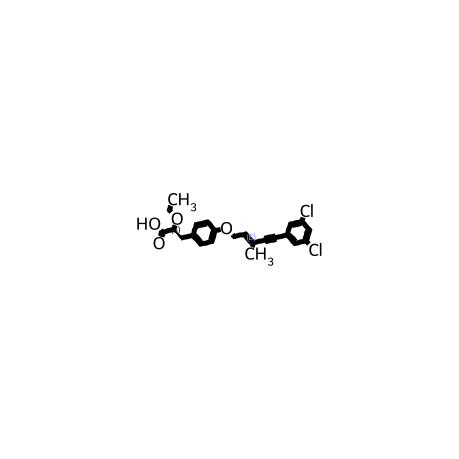 CCO[C@@H](Cc1ccc(OC/C=C(\C)C#Cc2cc(Cl)cc(Cl)c2)cc1)C(=O)O